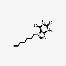 C=CCCCCCn1cnc2c1c(=O)n(C)c(=O)n2C